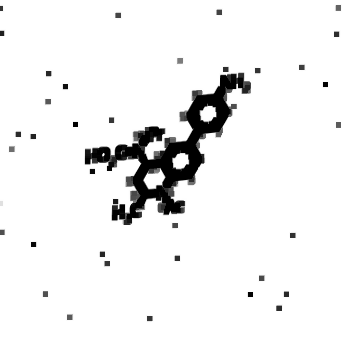 CC(=O)N1c2ccc(-c3ccc(N)cc3)cc2[C@H](N(C(=O)O)C(C)C)C[C@@H]1C